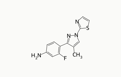 Cc1cn(-c2nccs2)nc1-c1ccc(N)cc1F